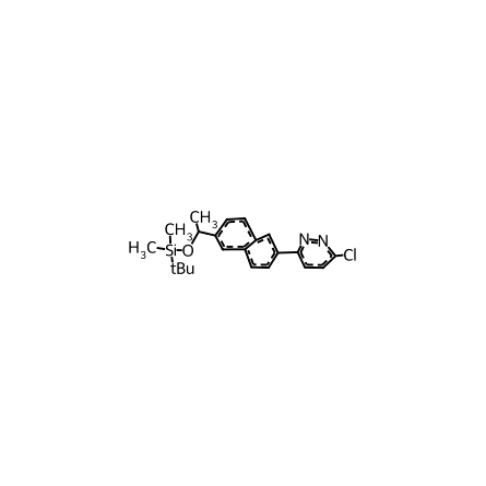 CC(O[Si](C)(C)C(C)(C)C)c1ccc2cc(-c3ccc(Cl)nn3)ccc2c1